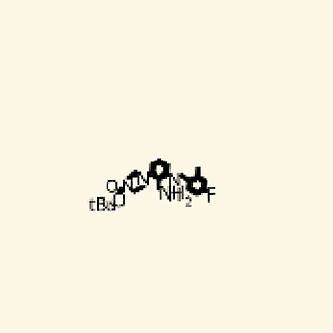 Cc1cc(F)ccc1CNc1cccc(N2CCN(C(=O)OC(C)(C)C)CC2)c1CN